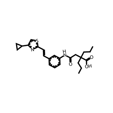 CCCC(CCC)(CC(=O)Nc1cccc(C=Cc2nc(C3CC3)cs2)c1)C(=O)O